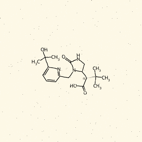 CC(C)(O)c1cccc(CN2C(=O)NCC2[C@@H](C(=O)O)C(C)(C)C)n1